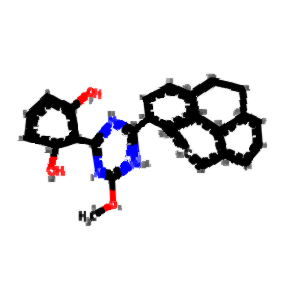 COc1nc(-c2c(O)cccc2O)nc(-c2ccc3c4c2ccc2cccc(c24)CC3)n1